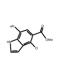 CCCc1cc(C(=O)OC)c(Cl)c2cc[nH]c12